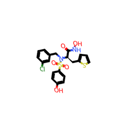 O=C(NO)[C@@H](Cc1cccs1)N(Cc1cccc(Cl)c1)S(=O)(=O)c1ccc(O)cc1